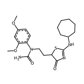 COc1ccc(N(CCC2SC(NC3CCCCCC3)=NC2=O)C(N)=O)c(OC)c1